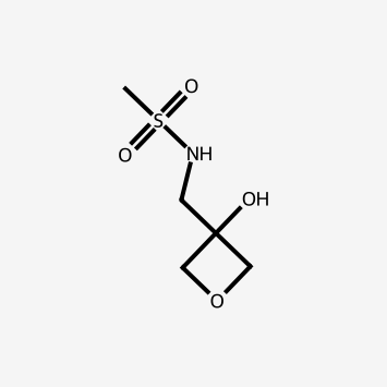 CS(=O)(=O)NCC1(O)COC1